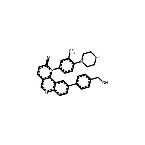 O=c1ccc2cnc3ccc(-c4ccc(CO)cc4)cc3c2n1-c1ccc(N2CCNCC2)c(C(F)(F)F)c1